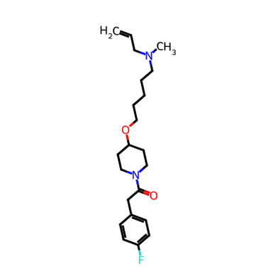 C=CCN(C)CCCCCOC1CCN(C(=O)Cc2ccc(F)cc2)CC1